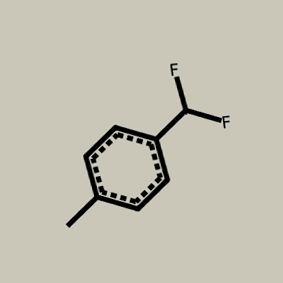 Cc1ccc([C](F)F)cc1